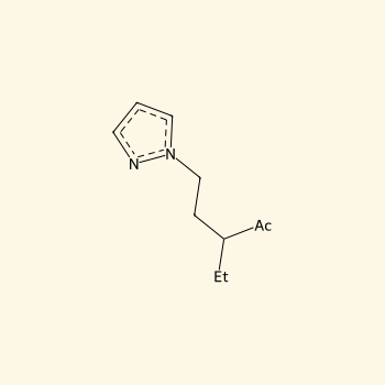 CCC(CCn1cccn1)C(C)=O